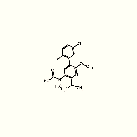 COc1nc(C(C)C)c(N(C)C(=O)O)cc1-c1cc(Cl)ccc1F